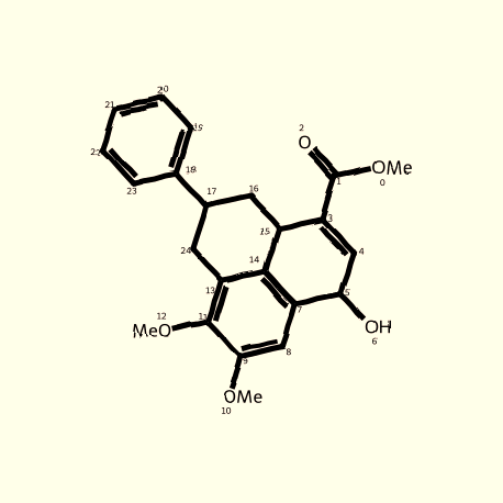 COC(=O)C1=CC(O)c2cc(OC)c(OC)c3c2C1CC(c1ccccc1)C3